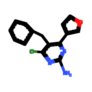 Nc1nc(Cl)c(Cc2ccccc2)c(-c2ccoc2)n1